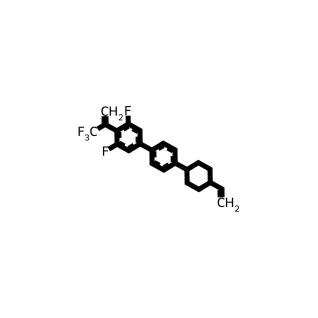 C=CC1CCC(c2ccc(-c3cc(F)c(C(=C)C(F)(F)F)c(F)c3)cc2)CC1